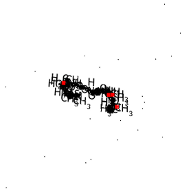 Cc1ncsc1-c1ccc([C@H](C)NC(=O)[C@@H]2C[C@@H](O)CN2C(=O)[C@@H](NC(=O)CCOCCOCCNC(=O)c2ccc(C(=O)Nc3n[nH]c4c3CN(C(=O)N[C@H](CN(C)C)c3ccccc3)C4(C)C)cc2)C(C)(C)C)cc1